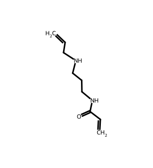 C=CCNCCCNC(=O)C=C